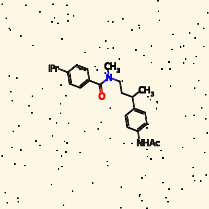 CC(=O)Nc1ccc(C(C)CCN(C)C(=O)c2ccc(C(C)C)cc2)cc1